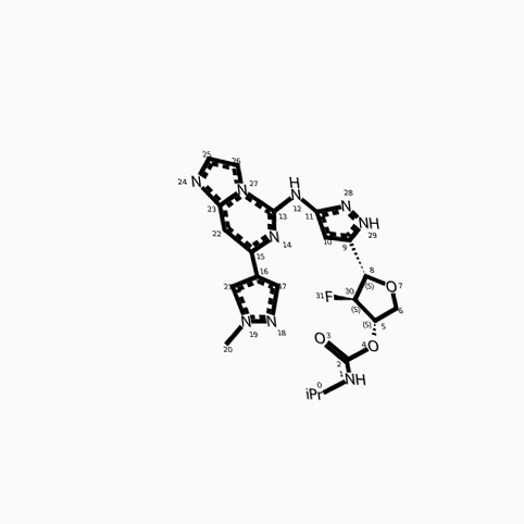 CC(C)NC(=O)O[C@H]1CO[C@@H](c2cc(Nc3nc(-c4cnn(C)c4)cc4nccn34)n[nH]2)[C@@H]1F